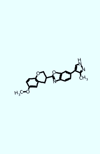 COc1ccc2c(c1)CC(c1nc3ccc(-c4c[nH]nc4C)cc3o1)CO2